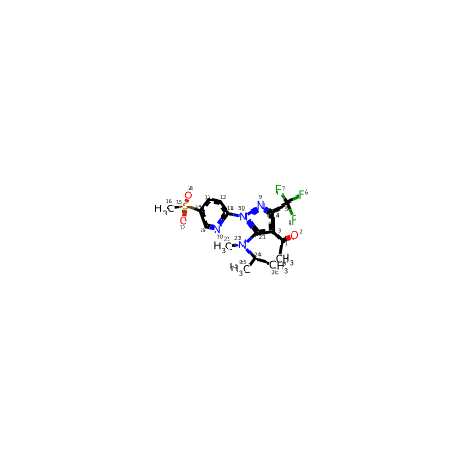 CC(=O)c1c(C(F)(F)F)nn(-c2ccc(S(C)(=O)=O)cn2)c1N(C)C(C)C